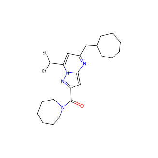 CCC(CC)c1cc(CC2CCCCCC2)nc2cc(C(=O)N3CCCCCC3)nn12